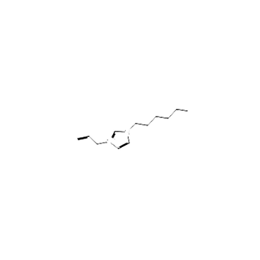 C=CC[n+]1ccn(CCCCCC)c1.Cl